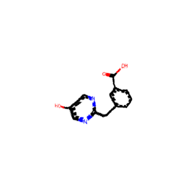 O=C(O)c1cccc(Cc2ncc(O)cn2)c1